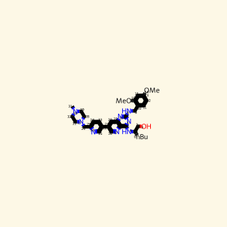 CCCCC(CO)Nc1nc(NCc2ccc(OC)cc2OC)nc2cc(-c3ccc(CN4CCN(C)CC4)nc3)cnc12